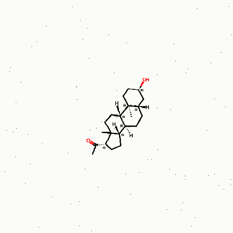 CC(=O)[C@H]1CC[C@H]2[C@@H]3CC[C@H]4C[C@H](O)CC[C@]4(C)[C@H]3CCC12C